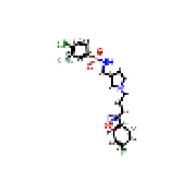 O=S(=O)(NCC1CCN(CCCc2noc3cc(F)ccc23)C1)c1ccc(Cl)c(Cl)c1